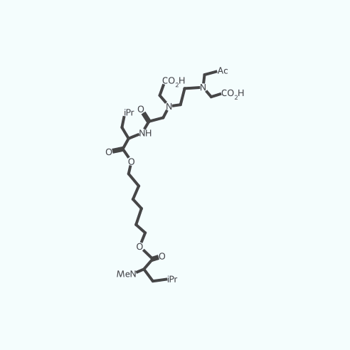 CNC(CC(C)C)C(=O)OCCCCCCOC(=O)C(CC(C)C)NC(=O)CN(CCN(CC(C)=O)CC(=O)O)CC(=O)O